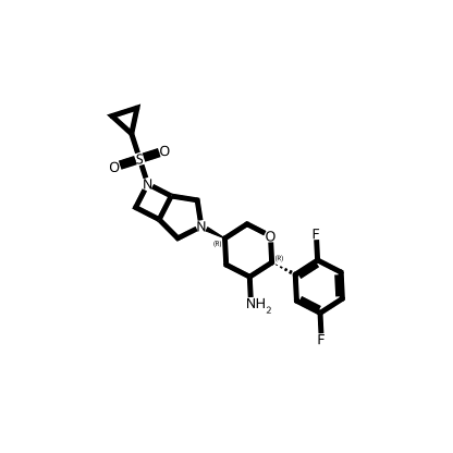 NC1C[C@@H](N2CC3CN(S(=O)(=O)C4CC4)C3C2)CO[C@@H]1c1cc(F)ccc1F